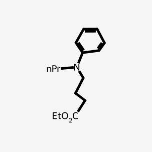 CCCN(CCCC(=O)OCC)c1ccccc1